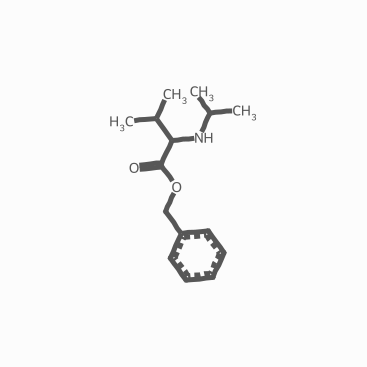 CC(C)NC(C(=O)OCc1ccccc1)C(C)C